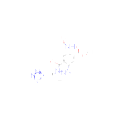 COC(=O)c1cc2nnn([C@H](C)Cn3cnnn3)c(=O)c2cc1NC=O